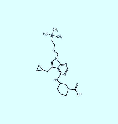 C[Si](C)(C)CCOCn1cc(CC2CC2)c2c(NC3CCCN(C(=O)O)C3)ncnc21